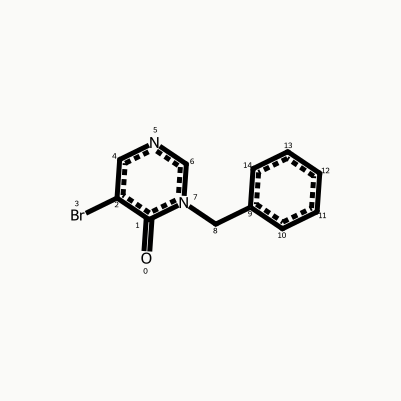 O=c1c(Br)cncn1Cc1ccccc1